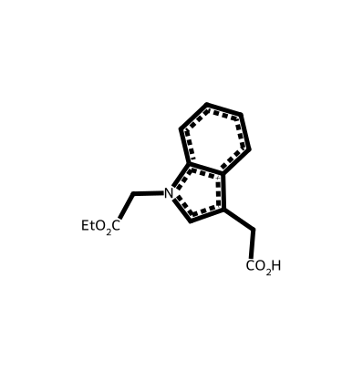 CCOC(=O)Cn1cc(CC(=O)O)c2ccccc21